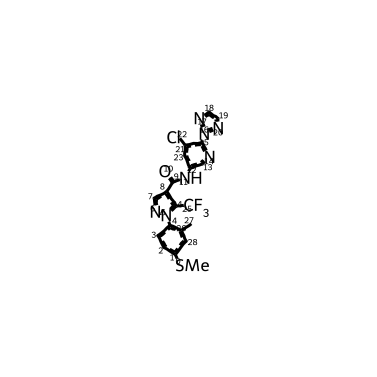 CSc1ccc(-n2ncc(C(=O)Nc3cnc(-n4nccn4)c(Cl)c3)c2C(F)(F)F)c(C)c1